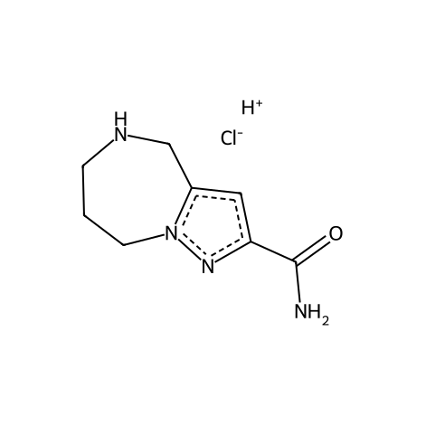 NC(=O)c1cc2n(n1)CCCNC2.[Cl-].[H+]